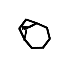 C1CCC2CC[C](C1)P2